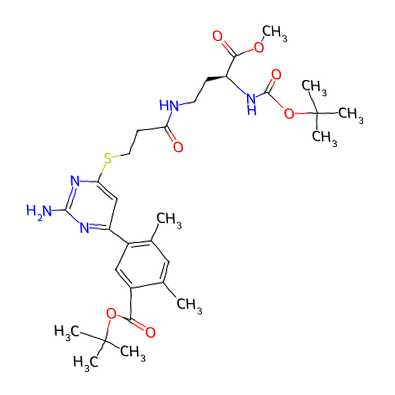 COC(=O)[C@H](CCNC(=O)CCSc1cc(-c2cc(C(=O)OC(C)(C)C)c(C)cc2C)nc(N)n1)NC(=O)OC(C)(C)C